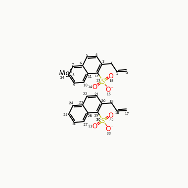 C=CCc1ccc2ccccc2c1S(=O)(=O)[O-].C=CCc1ccc2ccccc2c1S(=O)(=O)[O-].[Mg+2]